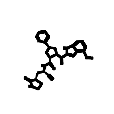 C#C[C@H](C[C@@H]1CCNC1=O)NC(=O)[C@@H]1C[C@@H](c2ccccn2)CN1C(=O)c1cc2c(OC)cccc2[nH]1